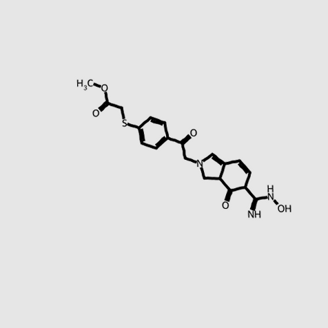 COC(=O)CSc1ccc(C(=O)CN2C=C3C=CC(C(=N)NO)C(=O)C3C2)cc1